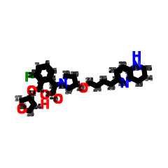 O=C(O)C(c1cccc(F)c1CO[C@@H]1CCOC1)N1CC[C@@H](OCCCCc2ccc3c(n2)CCCN3)C1